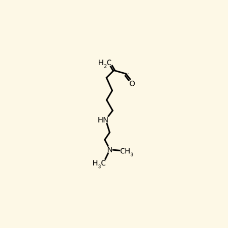 C=C([C]=O)CCCCNCCN(C)C